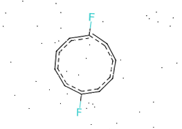 Fc1ccccc(F)cccc1